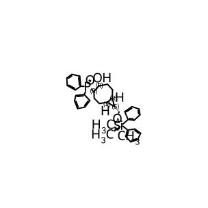 CC(C)(C)[Si](OC[C@H]1[C@@H]2CC[C@@H](O)[C@H](P(=O)(c3ccccc3)c3ccccc3)CC[C@@H]21)(c1ccccc1)c1ccccc1